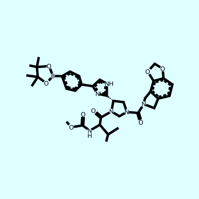 COC(=O)NC(C(=O)N1CN(C(=O)N2Cc3ccc4c(c3C2)OCO4)C[C@H]1c1nc(-c2ccc(B3OC(C)(C)C(C)(C)O3)cc2)c[nH]1)C(C)C